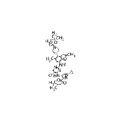 Cc1cc(Nc2ncc(Cl)c(Nc3cn(C4CC4)nc3S(=O)(=O)CC(C)C)n2)c2c(c1C1CCN(C(=O)OC(C)(C)C)CC1)C[C@@H](C)O2